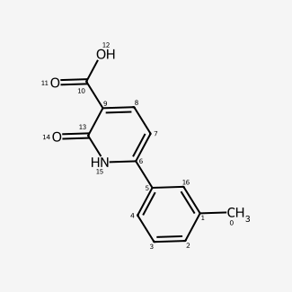 Cc1cccc(-c2ccc(C(=O)O)c(=O)[nH]2)c1